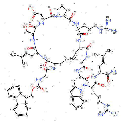 CC(C)=CC[C@H](NC(=O)[C@H](CCCNC(=N)N)NC(=O)[C@H](Cc1cc2ccccc2[nH]1)NC(=O)[C@H](C)NC(=O)[C@@H]1CCCC[C@H](NC(=O)CNC(=O)OCC2c3ccccc3-c3ccccc32)C(=O)N[C@@H](CC=C(C)C)C(=O)N[C@@H](CO)C(=O)N[C@@H](CC(=O)O)C(=O)N2CCCC2C(=O)N[C@@H](CCCNC(=N)N)C(=O)N1)C(N)=O